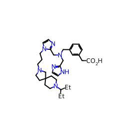 CCC(CC)N1CCC2(CCN(CCCn3ccnc3CN(Cc3cccc(CC(=O)O)c3)Cc3ncc[nH]3)C2)CC1